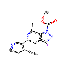 COc1ccncc1-c1cc2c(I)nn(C(=O)OC(C)(C)C)c2c(C)n1